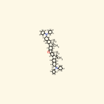 CC1(C)c2cc3cc(N(c4ccccc4)c4ccccc4)ccc3cc2-c2cc3oc4cc5c(cc4c3cc21)C(C)(C)c1cc2cc(N(c3ccccc3)c3ccccc3)ccc2cc1-5